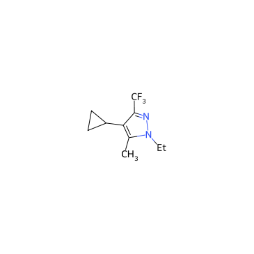 CCn1nc(C(F)(F)F)c(C2CC2)c1C